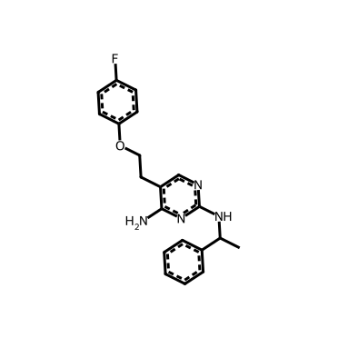 CC(Nc1ncc(CCOc2ccc(F)cc2)c(N)n1)c1ccccc1